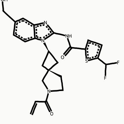 C=CC(=O)N1CC[C@]2(C1)C[C@H](n1c(NC(=O)c3ccc(C(F)F)s3)nc3cc(CO)ccc31)C2